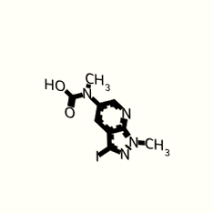 CN(C(=O)O)c1cnc2c(c1)c(I)nn2C